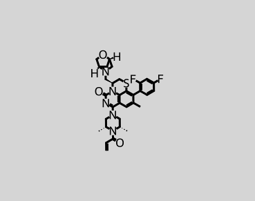 C=CC(=O)N1[C@H](C)CN(c2nc(=O)n3c4c(c(-c5ccc(F)cc5F)c(C)cc24)SC[C@@H]3CN2C[C@@H]3C[C@H]2CO3)C[C@@H]1C